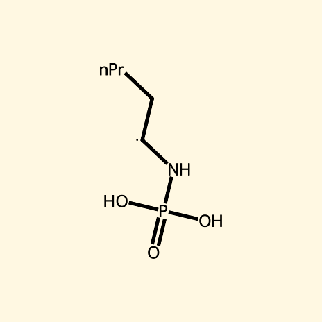 CCCC[CH]NP(=O)(O)O